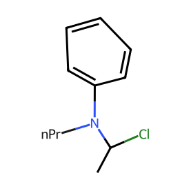 CCCN(c1ccccc1)C(C)Cl